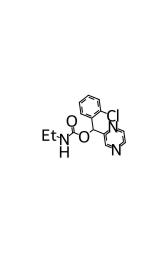 CCNC(=O)OC(c1cnccn1)c1ccccc1Cl